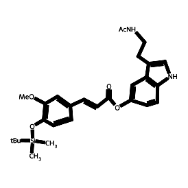 COc1cc(/C=C/C(=O)Oc2ccc3[nH]cc(CCNC(C)=O)c3c2)ccc1O[Si](C)(C)C(C)(C)C